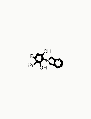 CC(C)c1c(F)[c]c(O)c(N2Cc3ccccc3C2)c1O